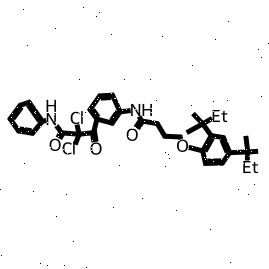 CCC(C)(C)c1ccc(OCCCC(=O)Nc2cccc(C(=O)C(Cl)(Cl)C(=O)Nc3ccccc3)c2)c(C(C)(C)CC)c1